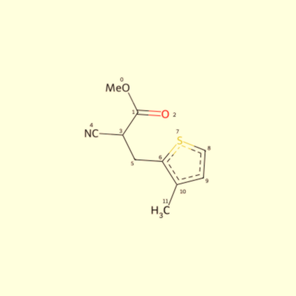 COC(=O)C(C#N)Cc1sccc1C